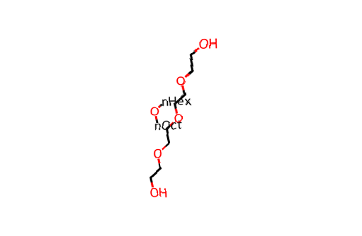 CCCCCCCCOCCCCCC.OCCOCCOCCOCCO